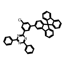 Clc1cc(-c2ccc3c(c2)-c2ccccc2C32c3ccccc3-c3ccccc32)cc(-c2nc(-c3ccccc3)nc(-c3ccccc3)n2)c1